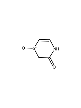 O=C1C[S+]([O-])C=CN1